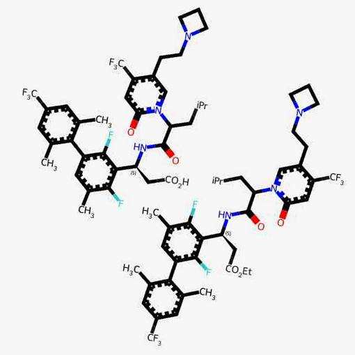 CCOC(=O)C[C@H](NC(=O)C(CC(C)C)n1cc(CCN2CCC2)c(C(F)(F)F)cc1=O)c1c(F)c(C)cc(-c2c(C)cc(C(F)(F)F)cc2C)c1F.Cc1cc(-c2c(C)cc(C(F)(F)F)cc2C)c(F)c([C@H](CC(=O)O)NC(=O)C(CC(C)C)n2cc(CCN3CCC3)c(C(F)(F)F)cc2=O)c1F